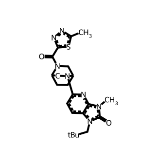 Cc1nnc(C(=O)N2CC3CCC2CN3c2ccc3c(n2)n(C)c(=O)n3CC(C)(C)C)s1